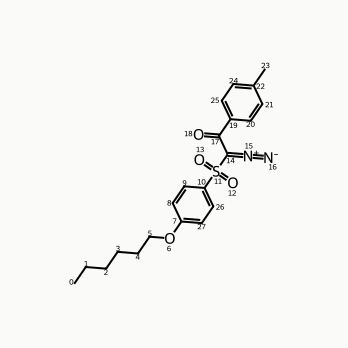 CCCCCCOc1ccc(S(=O)(=O)C(=[N+]=[N-])C(=O)c2ccc(C)cc2)cc1